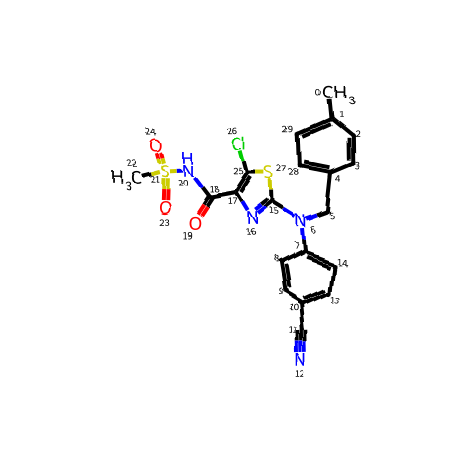 Cc1ccc(CN(c2ccc(C#N)cc2)c2nc(C(=O)NS(C)(=O)=O)c(Cl)s2)cc1